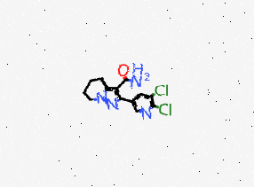 NC(=O)c1c(-c2cnc(Cl)c(Cl)c2)nn2c1CCCC2